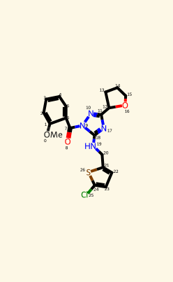 COc1ccccc1C(=O)n1nc(C2CCCO2)nc1NCc1ccc(Cl)s1